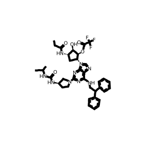 CCC(=O)N[C@H]1C[C@@H](n2cnc3c(NCC(c4ccccc4)c4ccccc4)nc(N4CC[C@@H](NC(=O)NC(C)C)C4)nc32)[C@H](OC(=O)C(F)(F)F)[C@@H]1O